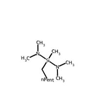 CCCCCC[Si](C)(N(C)C)N(C)C